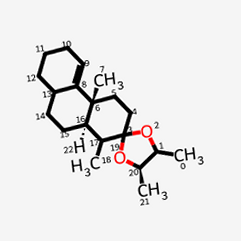 CC1OC2(CC[C@@]3(C)C4=CCCCC4CC[C@@H]3C2C)O[C@@H]1C